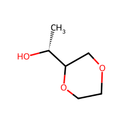 C[C@@H](O)C1COCCO1